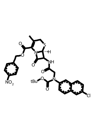 CC1=C(C(=O)OCc2ccc([N+](=O)[O-])cc2)N2C(=O)C(NC(=O)CN(C(=O)OC(C)(C)C)c3ccc4cc(Cl)ccc4c3)[C@@H]2SC1